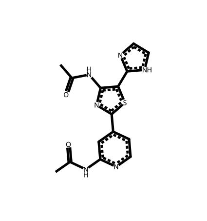 CC(=O)Nc1cc(-c2nc(NC(C)=O)c(-c3ncc[nH]3)s2)ccn1